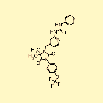 CC1(C)C(=O)N(c2ccc(OC(F)(F)F)cc2)C(=O)N1Cc1ccnc(NC(=O)Nc2ccccc2)c1